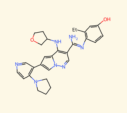 CCc1cc(O)ccc1/N=C(\N)c1cnn2cc(-c3cnccc3N3CCCC3)cc2c1NC1CCOC1